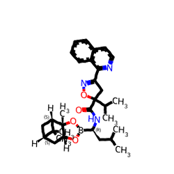 CC(C)C[C@H](NC(=O)C1(C(C)C)CC(c2nccc3ccccc23)=NO1)B1O[C@@H]2C[C@@H]3C[C@@H](C3(C)C)[C@]2(C)O1